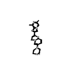 Cc1cn2cc(C3=CCN4C=C(N5CCNCC5)C=CC4=N3)nc2c(C)n1